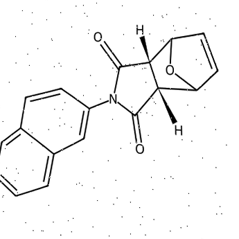 O=C1[C@@H]2C3C=CC(O3)[C@@H]2C(=O)N1c1ccc2ccccc2c1